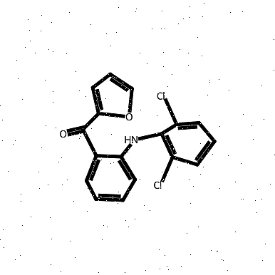 O=C(c1ccco1)c1ccccc1Nc1c(Cl)cccc1Cl